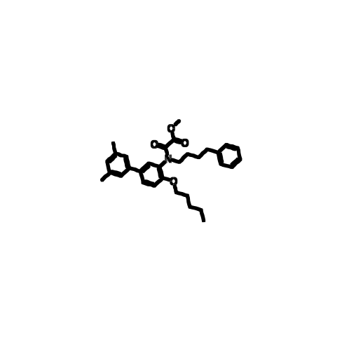 CCCCCOc1ccc(-c2cc(C)cc(C)c2)cc1N(CCCCc1ccccc1)C(=O)C(=O)OC